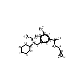 CCN(Cc1cc(C(=O)OCC2CO2)cc(Br)c1N)C1CCCCC1